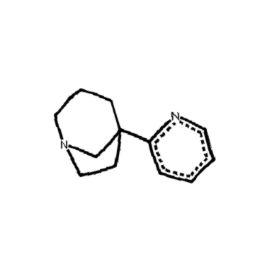 c1ccc(C23CCCN(CC2)C3)nc1